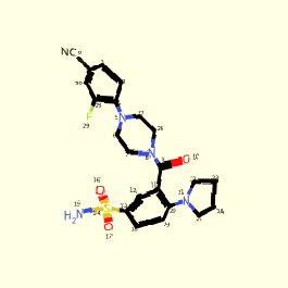 N#Cc1ccc(N2CCN(C(=O)c3cc(S(N)(=O)=O)ccc3N3CCCC3)CC2)c(F)c1